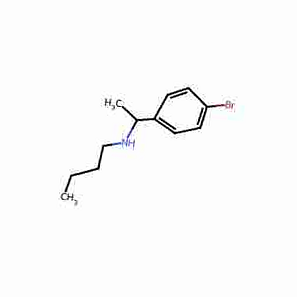 CCCCNC(C)c1ccc(Br)cc1